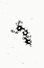 CC(C)Oc1cc(CN2CCC(NC(=O)c3ccc(Cl)nc3)CC2)cc(OC(C)C)c1